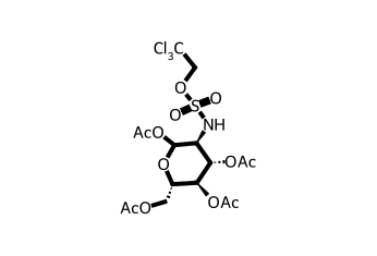 CC(=O)OC[C@@H]1OC(OC(C)=O)[C@@H](NS(=O)(=O)OCC(Cl)(Cl)Cl)[C@H](OC(C)=O)[C@H]1OC(C)=O